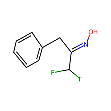 O/N=C(\Cc1ccccc1)C(F)F